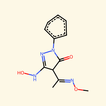 CON=C(C)C1C(=O)N(c2ccccc2)N=C1NO